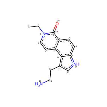 CCn1ccc2c(ccc3[nH]cc(CCN)c32)c1=O